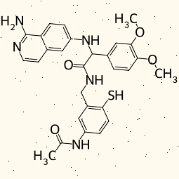 COc1ccc(C(Nc2ccc3c(N)nccc3c2)C(=O)NCc2cc(NC(C)=O)ccc2S)cc1OC